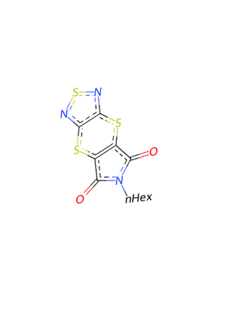 CCCCCCn1c(=O)c2sc3nsnc3sc=2c1=O